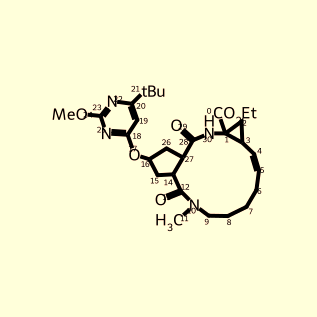 CCOC(=O)C12CC1C=CCCCCN(C)C(=O)C1CC(Oc3cc(C(C)(C)C)nc(OC)n3)CC1C(=O)N2